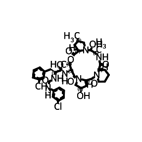 Cc1cccc(C[C@H](NC(=O)Nc2cccc(Cl)c2)C(=O)N[C@@H]2C(=O)N3C[C@H](O)C[C@H]3C(=O)N3CCCC[C@H]3C(=O)N[C@@H](C)C(O)N3C[C@H](C)C[C@H]3C(=O)O[C@H]2C)c1